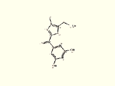 Cc1nc(C(=S)c2cc(O)nc(O)n2)sc1CC(=O)O